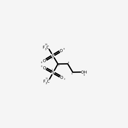 O=S(=O)(C(CCO)S(=O)(=O)C(F)(F)F)C(F)(F)F